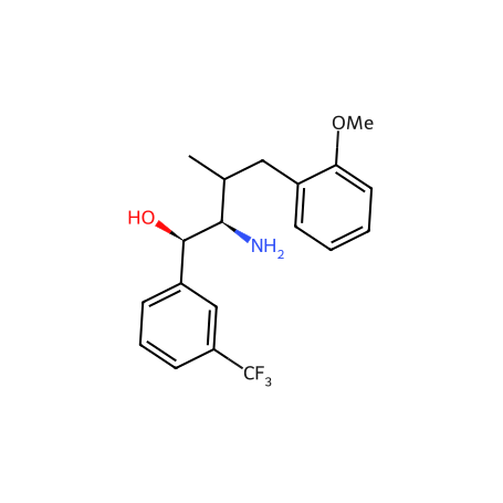 COc1ccccc1CC(C)[C@@H](N)[C@H](O)c1cccc(C(F)(F)F)c1